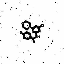 CC(Nc1nc(Cl)cc(N2CCOCC2)n1)c1ccc(F)cn1